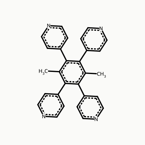 Cc1c(-c2ccncc2)c(-c2ccncc2)c(C)c(-c2ccncc2)c1-c1ccncc1